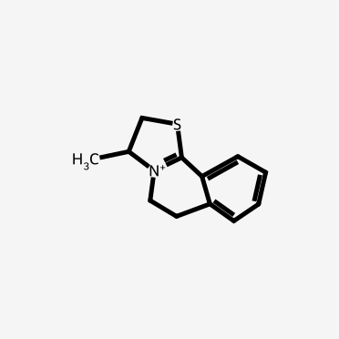 CC1CSC2=[N+]1CCc1ccccc12